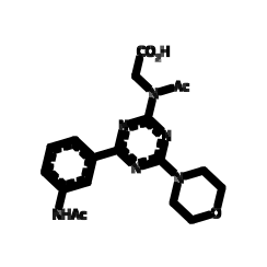 CC(=O)Nc1cccc(-c2nc(N3CCOCC3)nc(N(CC(=O)O)C(C)=O)n2)c1